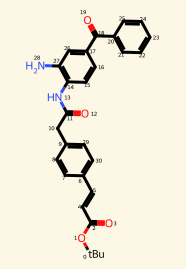 CC(C)(C)OC(=O)/C=C/c1ccc(CC(=O)Nc2ccc(C(=O)c3ccccc3)cc2N)cc1